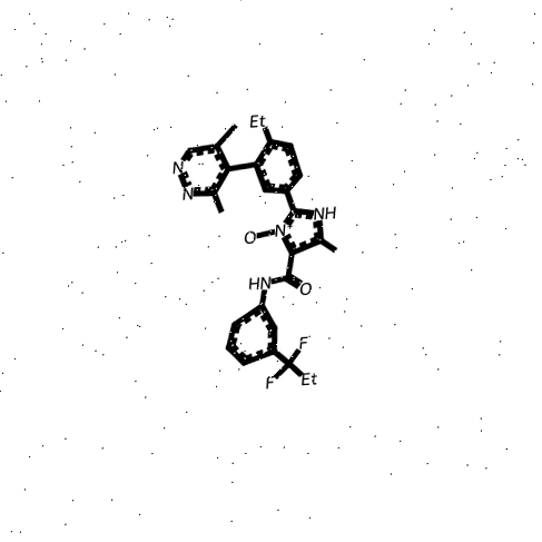 CCc1ccc(-c2[nH]c(C)c(C(=O)Nc3cccc(C(F)(F)CC)c3)[n+]2[O-])cc1-c1c(C)cnnc1C